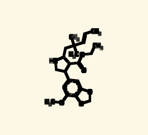 C/C=C/C(C)(C)CC1NCC(c2cc(OC)c3c(c2)OCO3)C1C(=O)OCC